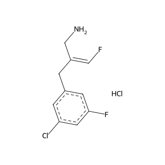 Cl.NCC(=CF)Cc1cc(F)cc(Cl)c1